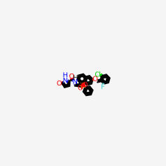 O=C1CC[C@H](C(=O)N2CC[C@@]3(S(=O)(=O)c4ccccc4)c4ccc(OCc5c(F)cccc5Cl)cc4CC[C@@H]23)N1